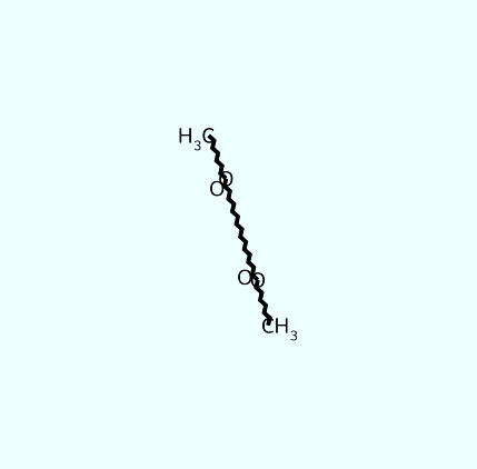 CCCCCCCOC(=O)CCCCCCCCCCCCCC(=O)OCCCCCCC